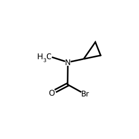 CN(C(=O)Br)C1CC1